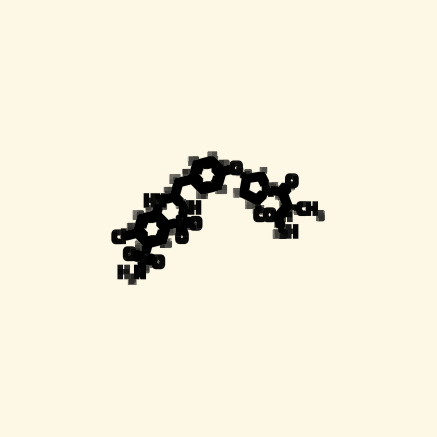 C[C@H](CS)C(=O)N1C[C@@H](Oc2ccc(CC3Nc4cc(Cl)c(S(N)(=O)=O)cc4S(=O)(=O)N3)cc2)C[C@H]1C(=O)O